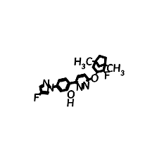 C[C@@]12CC[C@@](C)(C1)[C@@H](F)[C@@H](Oc1ccc(-c3ccc(-n4cc(F)cn4)cc3O)nn1)C2